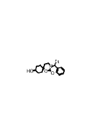 CCC(c1ccccc1)N1CCC2(CCC(O)CC2)OC1=O